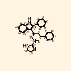 CN(N=C(CCc1ccccc1)c1c(-c2ccccc2)[nH]c2ccccc12)C1=NCCN1